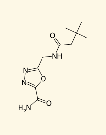 CC(C)(C)CC(=O)NCc1nnc(C(N)=O)o1